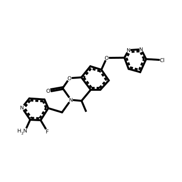 CC1c2ccc(Oc3ccc(Cl)nn3)cc2OC(=O)N1Cc1ccnc(N)c1F